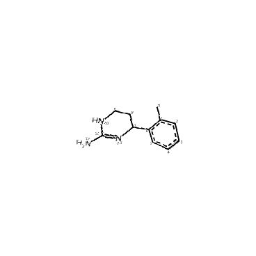 Cc1ccccc1C1CCNC(N)=N1